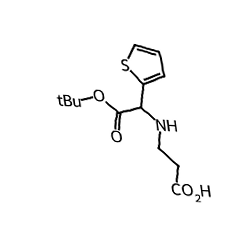 CC(C)(C)OC(=O)C(NCCC(=O)O)c1cccs1